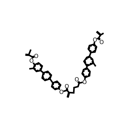 C=C(C)C(=O)Oc1ccc(-c2ccc(-c3ccc(OC(=O)CCCC(=C)C(=O)Oc4ccc(-c5ccc(-c6ccc(OC(=O)C(=C)C)c(C)c6)cc5)cc4)cc3)c(C)c2)cc1